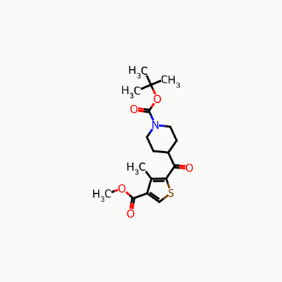 COC(=O)c1csc(C(=O)C2CCN(C(=O)OC(C)(C)C)CC2)c1C